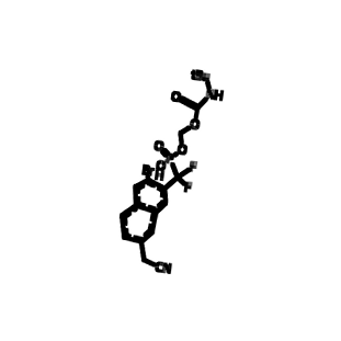 CC(C)(C)NC(=O)OCOP(=O)(O)C(F)(F)c1cc2cc(CC#N)ccc2cc1Br